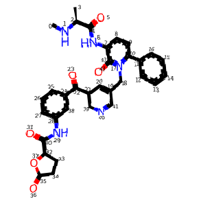 CN[C@@H](C)C(=O)Nc1ccc(-c2ccccc2)n(CC2=CC(C(=O)c3cccc(NC(=O)C4CCC(=O)O4)c3)CN=C2)c1=O